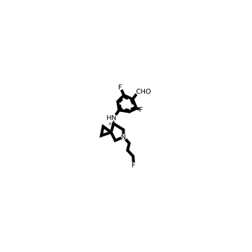 O=Cc1c(F)cc(N[C@@H]2CN(CCCF)CC23CC3)cc1F